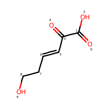 O=C(O)C(=O)/C=C/CCO